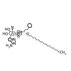 CCCCCCCCCCCCCCCCCCOC[C@@H](CCc1ccccc1)COP(=O)(O)OC[C@@]1(C#N)O[C@@H](c2ccc3c(N)ncnn23)[C@H](O)[C@@H]1O